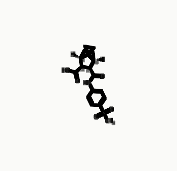 CS(=O)(=O)c1ccc(NC(=O)[C@H]2[C@@H](C(=O)O)[C@H]3CC[C@@H]2C32CC2)cc1